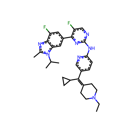 CCN1CCC(=C(c2ccc(Nc3ncc(F)c(-c4cc(F)c5nc(C)n(C(C)C)c5c4)n3)nc2)C2CC2)CC1